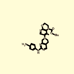 Cc1c(N2CCc3cnc(Nc4ccc(N)cc4)nc3C2)cnc2c1N(C(=O)OC(C)(C)C)CCO2